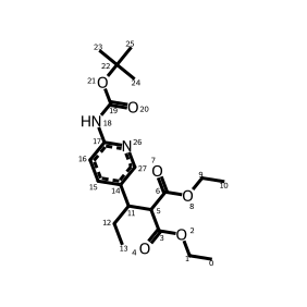 CCOC(=O)C(C(=O)OCC)C(CC)c1ccc(NC(=O)OC(C)(C)C)nc1